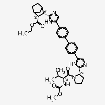 CCOC(=O)[C@H]1C2CCC(C2)[C@@H]1c1ncc(-c2ccc(-c3ccc(-c4cnc([C@@H]5CCCN5C(=O)[C@@H](NC(=O)OC)C(C)C)[nH]4)cc3)cc2)[nH]1